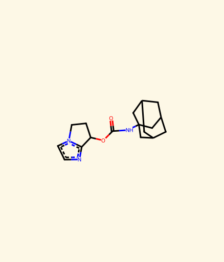 O=C(NC12CC3CC(CC(C3)C1)C2)OC1CCn2ccnc21